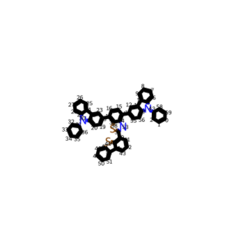 c1ccc(-n2c3ccccc3c3cc(-c4ccc(-c5ccc6c(c5)c5ccccc5n6-c5ccccc5)c5sc(-c6cccc7c6sc6ccccc67)nc45)ccc32)cc1